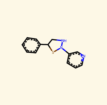 c1ccc(C2CNN(c3cccnc3)S2)cc1